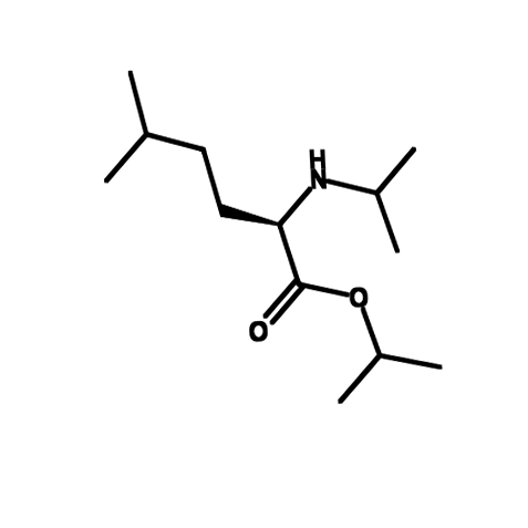 CC(C)CC[C@@H](NC(C)C)C(=O)OC(C)C